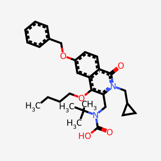 CCCCOc1c(CN(C(=O)O)C(C)(C)C)n(CC2CC2)c(=O)c2ccc(OCc3ccccc3)cc12